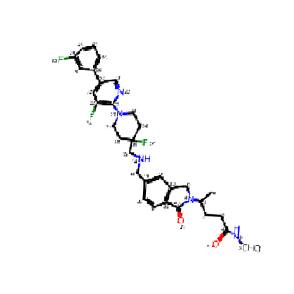 CC(CCC(=O)NC=O)N1Cc2cc(CNCC3(F)CCN(c4ncc(-c5cccc(F)c5)cc4F)CC3)ccc2C1=O